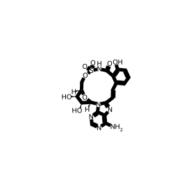 Nc1ncnc2c1nc1n2[C@@H]2O[C@H](COS(=O)(=O)NC(=O)c3c(O)cccc3/C=C/1)[C@@H](O)[C@H]2O